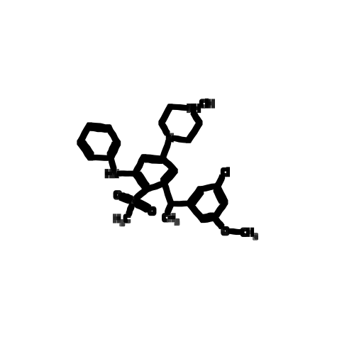 COc1cc(Cl)cc(C(C)c2cc(N3CCNCC3)cc(Nc3ccccc3)c2S(C)(=O)=O)c1.Cl